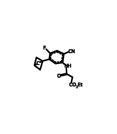 CCOC(=O)CC(=O)Nc1cc(C23CC(C2)C3)c(F)cc1C#N